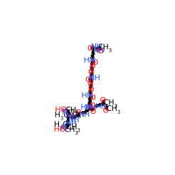 CC(=O)CN[C@@H](CCCCNC(=O)[C@H](CCCCNC(=O)CCCC(=O)NC(CNC(C)(C)/C(C)=N/O)CNC(C)(C)/C(C)=N/O)NC(=O)CCCC(=O)NCCOCCOCC(=O)NCCOCCOCC(=O)NCCCC[C@H](NCC(C)=O)C(N)=O)C(C)=O